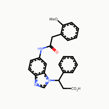 COc1ccccc1CC(=O)Nc1ccc2ncn(C(CC(=O)O)c3ccccc3)c2c1